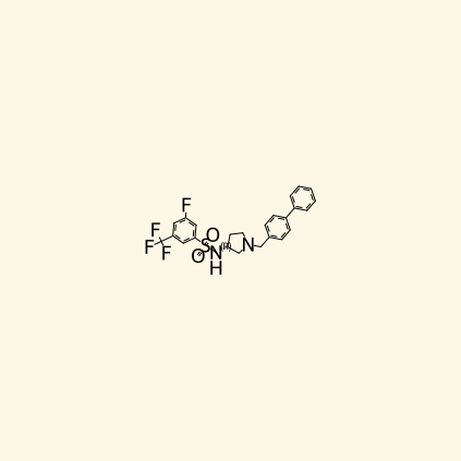 O=S(=O)(N[C@@H]1CCN(Cc2ccc(-c3ccccc3)cc2)C1)c1cc(F)cc(C(F)(F)F)c1